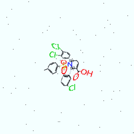 Cc1ccc(S(=O)(=O)N2[C@@H](c3cccc(Cl)c3)C(C(=O)O)=CC[C@H]2c2ccc(Cl)c(Cl)c2)cc1